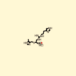 Cc1[nH]cnc1CSC(C)CNC(=N)NCCCc1c[nH]cn1.Cl.Cl.Cl